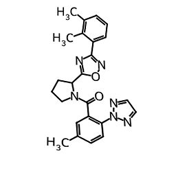 Cc1ccc(-n2nccn2)c(C(=O)N2CCCC2c2nc(-c3cccc(C)c3C)no2)c1